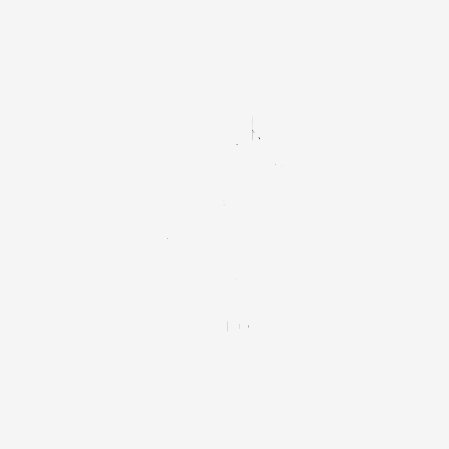 OCc1cccc(C2CNC2)c1